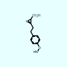 CCCCOc1ccc(CCC2=NC2C(=O)OCC)cc1